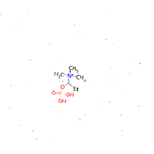 CCC(OP(=O)(O)O)[N+](C)(C)C